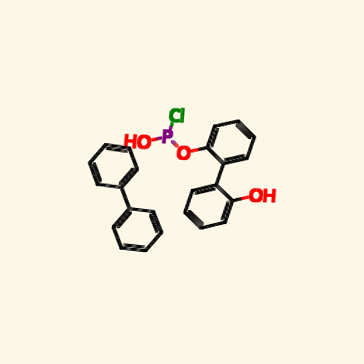 Oc1ccccc1-c1ccccc1OP(O)Cl.c1ccc(-c2ccccc2)cc1